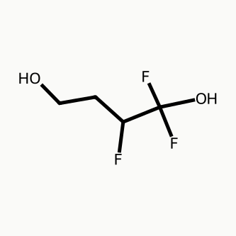 OCCC(F)C(O)(F)F